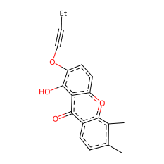 CCC#COc1ccc2oc3c(C)c(C)ccc3c(=O)c2c1O